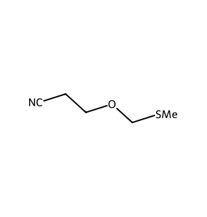 CSCOCCC#N